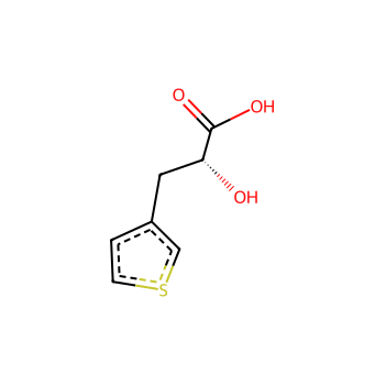 O=C(O)[C@H](O)Cc1ccsc1